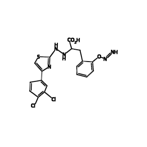 N=NOc1ccccc1CC(NNc1nc(-c2ccc(Cl)c(Cl)c2)cs1)C(=O)O